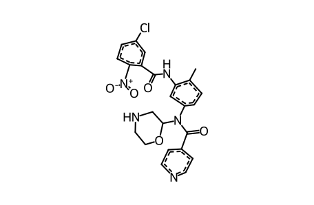 Cc1ccc(N(C(=O)c2ccncc2)C2CNCCO2)cc1NC(=O)c1cc(Cl)ccc1[N+](=O)[O-]